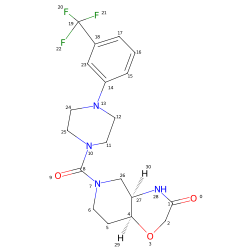 O=C1CO[C@H]2CCN(C(=O)N3CCN(c4cccc(C(F)(F)F)c4)CC3)C[C@H]2N1